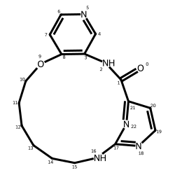 O=C1Nc2cnccc2OCCCCCCNc2nccc1n2